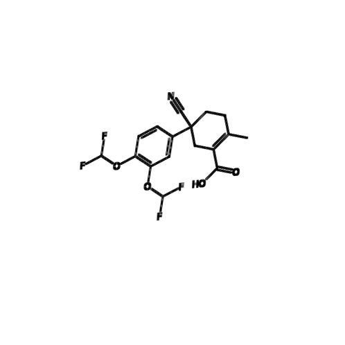 CC1=C(C(=O)O)CC(C#N)(c2ccc(OC(F)F)c(OC(F)F)c2)CC1